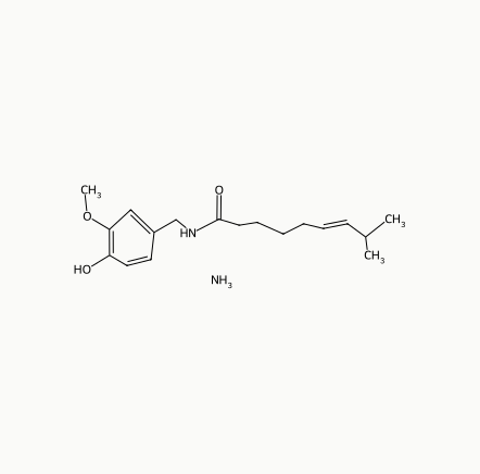 COc1cc(CNC(=O)CCCCC=CC(C)C)ccc1O.N